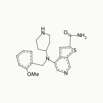 COc1ccccc1CN(c1cncc2sc(C(N)=O)cc12)C1CCNCC1